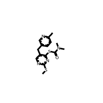 CSc1ncc(Cc2ccc(C)nc2)c(SC(=O)N(C)C)n1